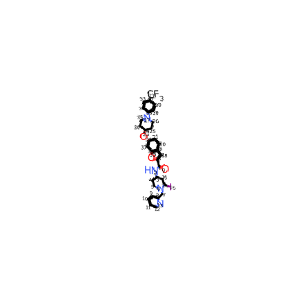 O=C(NC1CCN(Cc2ccccn2)C(I)C1)c1cc2ccc(OC3CCN(c4ccc(C(F)(F)F)cc4)CC3)cc2o1